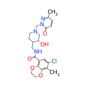 Cc1ccc(=O)n(CN2CCC(CNC(=O)c3cc(Cl)c(C)c4c3OCCO4)C(O)C2)n1